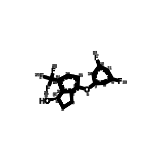 O[C@@H]1CCc2c(Oc3cc(F)cc(F)c3)ccc(C(F)(F)F)c21